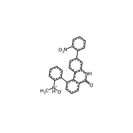 C[NH+]([O-])c1ccccc1-c1cccc2c(=O)[nH]c3cc(-c4ccccc4[N+](=O)[O-])ccc3c12